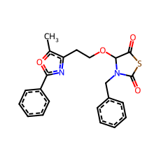 Cc1oc(-c2ccccc2)nc1CCOC1C(=O)SC(=O)N1Cc1ccccc1